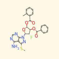 CSc1nn([C@H]2O[C@@H](OC(=O)c3ccccc3C)[C@@H](OC(=O)c3ccccc3)[C@@H]2F)c2ncnc(N)c12